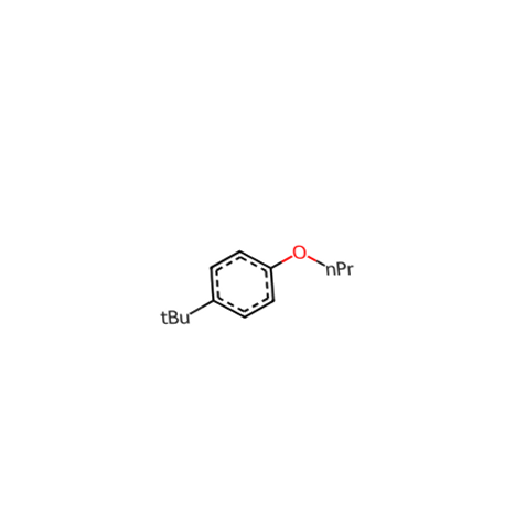 [CH2]CCOc1ccc(C(C)(C)C)cc1